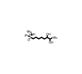 CCCCC(O)C(O)CCCCC[SH](=O)(NC(C)(C)C)C(C)C